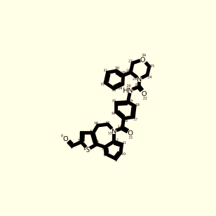 O=Cc1cc2c(s1)-c1ccccc1N(C(=O)c1ccc(NC(=O)N3CCOCC3c3ccccc3)cc1)CC2